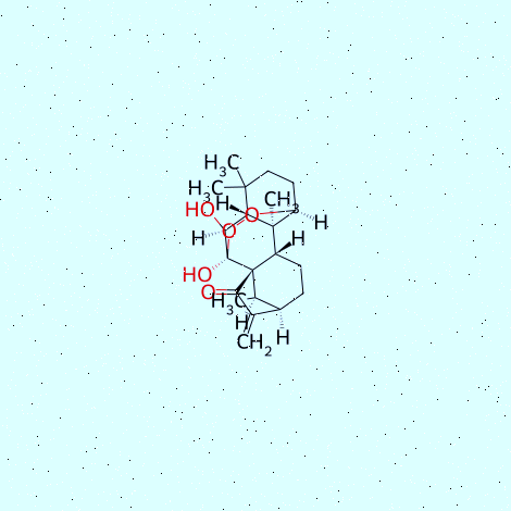 C=C1C(=O)[C@]23[C@H](C)[C@H]1CC[C@H]2[C@]1(C)[C@@H]2CCC(C)(C)[C@H]1[C@H](O)[C@@]3(O)OO2